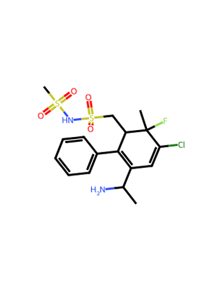 CC(N)C1=C(c2ccccc2)C(CS(=O)(=O)NS(C)(=O)=O)C(C)(F)C(Cl)=C1